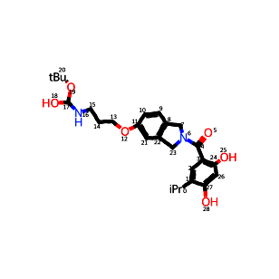 CC(C)c1cc(C(=O)N2Cc3ccc(OCCCNC(O)OC(C)(C)C)cc3C2)c(O)cc1O